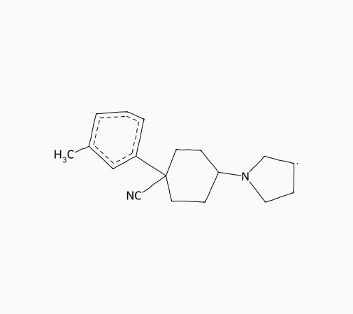 Cc1cccc(C2(C#N)CCC(N3C[CH]CC3)CC2)c1